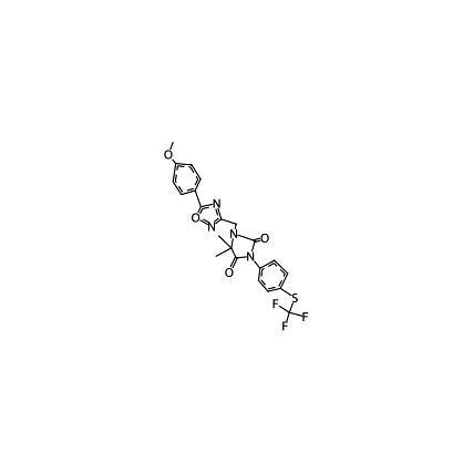 COc1ccc(-c2nc(CN3C(=O)N(c4ccc(SC(F)(F)F)cc4)C(=O)C3(C)C)no2)cc1